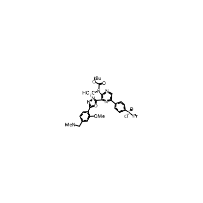 CNCc1ccc(-c2nnc(-c3nc(-c4ccc(S(=O)(=O)C(C)C)cc4)cnc3N(C(=O)O)C(=O)OC(C)(C)C)o2)c(OC)c1